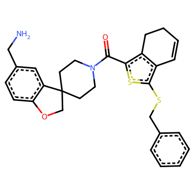 NCc1ccc2c(c1)C1(CCN(C(=O)c3sc(SCc4ccccc4)c4c3CCC=C4)CC1)CO2